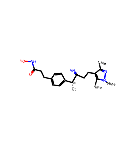 CC[C@@H](C(=N)CCc1c(NC)nn(NC)c1NC)c1ccc(CCC(=O)NO)cc1